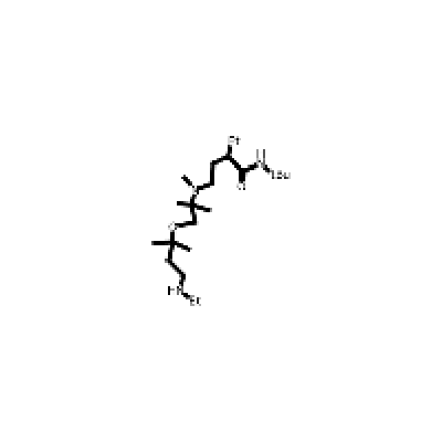 CCNCCC(C)(C)OCC(C)(C)N(C)CCC(CC)C(=O)NC(C)(C)C